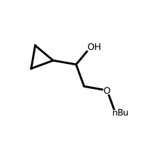 CCCCOCC(O)C1CC1